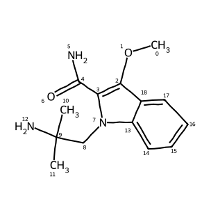 COc1c(C(N)=O)n(CC(C)(C)N)c2ccccc12